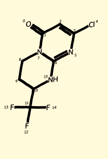 O=c1cc(Cl)nc2n1CCC(C(F)(F)F)N2